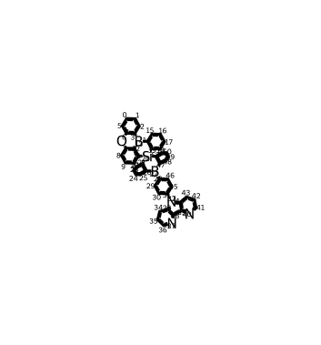 c1ccc2c(c1)Oc1cccc3c1B2c1ccccc1[Si]31c2ccccc2B(c2ccc(-n3c4cccnc4c4ncccc43)cc2)c2ccccc21